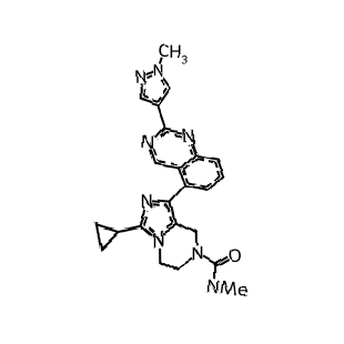 CNC(=O)N1CCn2c(C3CC3)nc(-c3cccc4nc(-c5cnn(C)c5)ncc34)c2C1